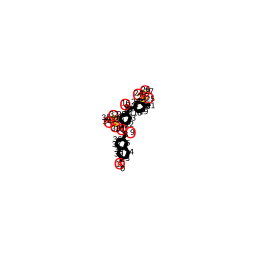 COc1ccc2cc(C(=O)Oc3ccc(C(=O)c4ccc(C)c(S(=O)(=O)OC)c4)cc3S(=O)(=O)OC)ccc2c1